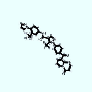 O=C(Nc1ccc(-n2cccn2)c(C(F)(F)F)c1)c1cnn(-c2ccc(C(=O)c3cccn4c(=O)ccnc34)cc2)c1C(F)(F)F